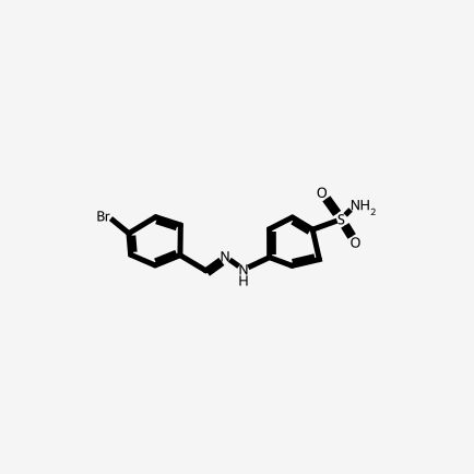 NS(=O)(=O)c1ccc(NN=Cc2ccc(Br)cc2)cc1